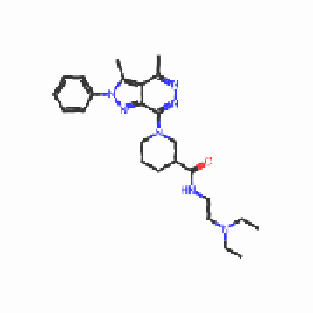 CCN(CC)CCNC(=O)C1CCCN(c2nnc(C)c3c(C)n(-c4ccccc4)nc23)C1